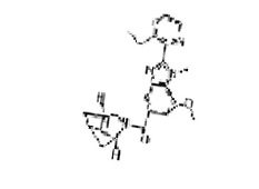 CCc1cccnc1-c1nc2cc(C(=O)N3C[C@H]4CC5C[C@@H]3[C@H]54)cc(OC)c2n1C